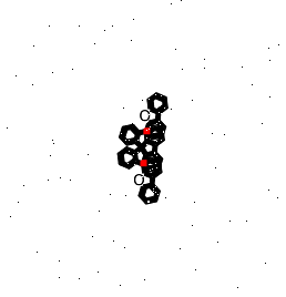 C1=CC2c3ccccc3C(c3ccccc3-c3cccc4c3oc3ccccc34)(c3ccccc3-c3cccc4c3oc3ccccc34)C2C=C1